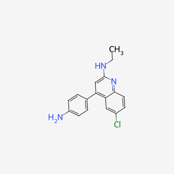 CCNc1cc(-c2ccc(N)cc2)c2cc(Cl)ccc2n1